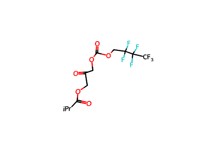 CC(C)C(=O)OCC(=O)COC(=O)OCC(F)(F)C(F)(F)C(F)(F)F